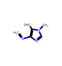 C=Nc1ncn(C)c1C=O